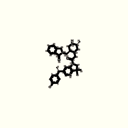 C[C@@H](c1ccc(F)cc1)c1cnc2c(c1)N(C(=O)CN1C[C@@H](C)NC[C@@H]1CN1Cc3ccccc3C1=O)CC2(C)C